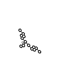 c1ccc(-c2ccc3ccc4c(-c5ccc(-c6ccc(-c7ccc8ccc9c(-c%10ccccc%10)ccc%10ccc7c8c%109)c7oc8c9ccccc9ccc8c67)cc5)ccc5ccc2c3c54)cc1